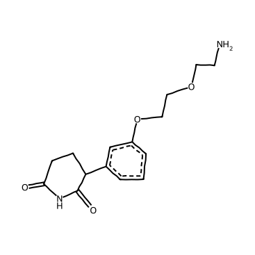 NCCOCCOc1cccc(C2CCC(=O)NC2=O)c1